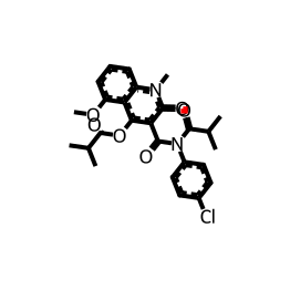 COc1cccc2c1c(OC(=O)C(C)C)c(C(=O)N(C(=O)C(C)C)c1ccc(Cl)cc1)c(=O)n2C